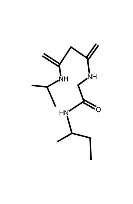 C=C(CC(=C)NC(C)C)NCC(=O)NC(C)CC